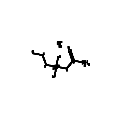 CCC[N+](C)(C)CC(N)=O.[Cl-]